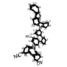 N#Cc1cc(-c2ccccc2-c2cccc(-n3c4ccccc4c4c5sc6ccccc6c5ccc43)c2)cc(-n2c3ccc(C#N)cc3c3cc(C#N)ccc32)c1